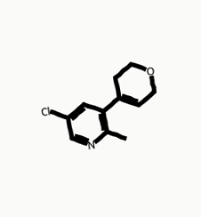 Cc1ncc(Cl)cc1C1=CCOCC1